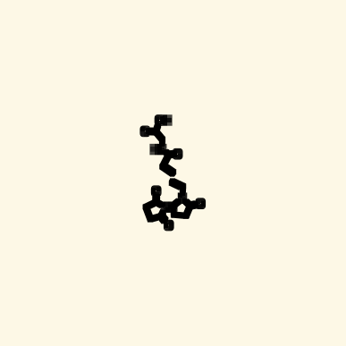 C=CC(=O)NCC(=O)O.C=CN1CCCC1=O.O=C1CCC(=O)N1